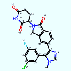 Cn1cnc(-c2ccc3c(c2)CN(C2CCC(=O)NC2=O)C3=O)c1-c1cc(F)cc(Cl)c1